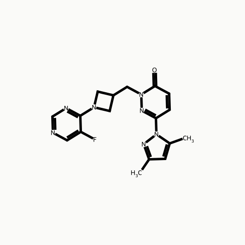 Cc1cc(C)n(-c2ccc(=O)n(CC3CN(c4ncncc4F)C3)n2)n1